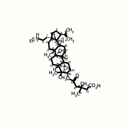 C=C(C)[C@@H]1CC[C@]2(CCNCC)CC[C@]3(C)[C@H](CC[C@@H]4[C@@]5(C)CC[C@H](OC(=O)CC(C)(C)CC(=O)O)C(C)(C)[C@@H]5CC[C@]43C)[C@@H]12